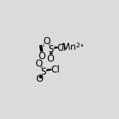 O=[S-](=O)Cl.O=[S-](=O)Cl.[C]=O.[Mn+2]